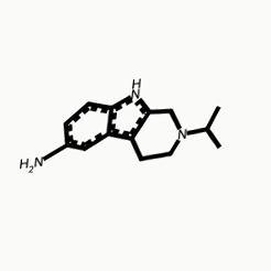 CC(C)N1CCc2c([nH]c3ccc(N)cc23)C1